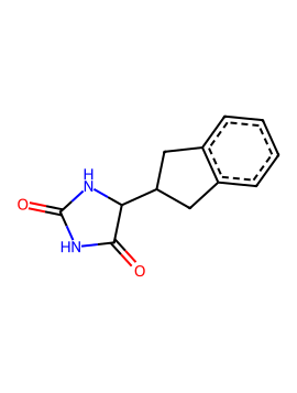 O=C1NC(=O)C(C2Cc3ccccc3C2)N1